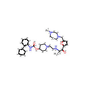 CC(=O)N1CCCN(Cc2ccc(C(=O)C(C)NCCN3CCC(OC(=O)Nc4ccccc4-c4ccccc4)CC3)o2)CC1